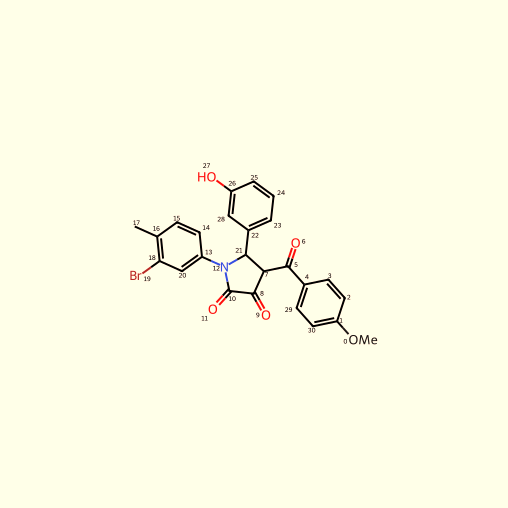 COc1ccc(C(=O)C2C(=O)C(=O)N(c3ccc(C)c(Br)c3)C2c2cccc(O)c2)cc1